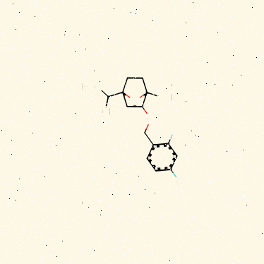 CC(C)C12CCC(C)(O1)C(OCc1ccc(F)cc1F)C2